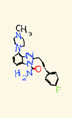 CN1CCN(c2cccc3c2nc(CC#Cc2ccc(F)cc2)n3C(N)=O)CC1